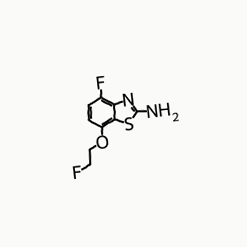 Nc1nc2c(F)ccc(OCCF)c2s1